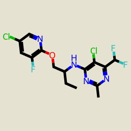 CCC(COc1ncc(Cl)cc1F)Nc1nc(C)nc(C(F)F)c1Cl